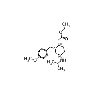 CCOC(=O)C[C@@H]1CC[C@@H](NC(C)C)CN1Cc1ccc(OC)cc1